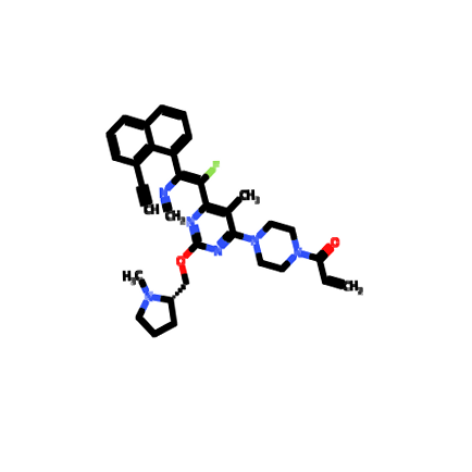 C#Cc1cccc2cccc(/C(N=C)=C(\F)c3nc(OC[C@@H]4CCCN4C)nc(N4CCN(C(=O)C=C)CC4)c3C)c12